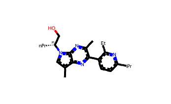 CCC[C@H](CO)n1cc(C)c2nc(-c3ccc(C(C)C)nc3CC)c(C)nc21